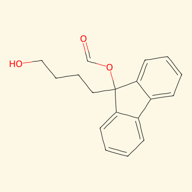 O=COC1(CCCCO)c2ccccc2-c2ccccc21